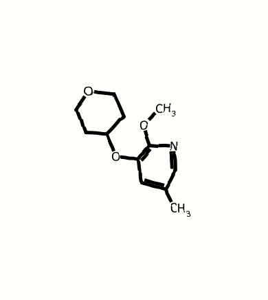 COc1ncc(C)cc1OC1CCOCC1